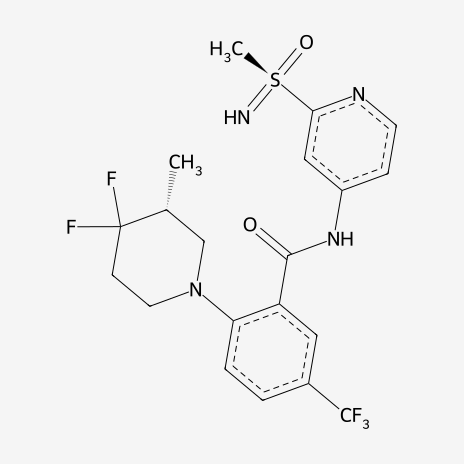 C[C@@H]1CN(c2ccc(C(F)(F)F)cc2C(=O)Nc2ccnc([S@](C)(=N)=O)c2)CCC1(F)F